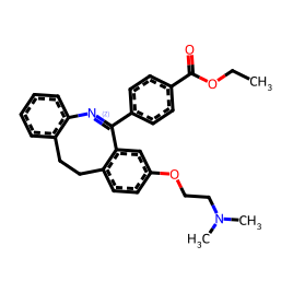 CCOC(=O)c1ccc(/C2=N/c3ccccc3CCc3ccc(OCCN(C)C)cc32)cc1